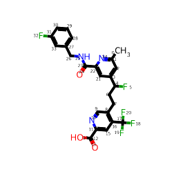 Cc1cc(C(F)CCc2cnc(C(=O)O)cc2C(F)(F)F)cc(C(=O)NCc2cccc(F)c2)n1